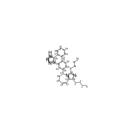 CCCCc1nc(CCCC)n2c1C=CCCC2c1ccc(-c2ccccc2-c2nnn[nH]2)cc1